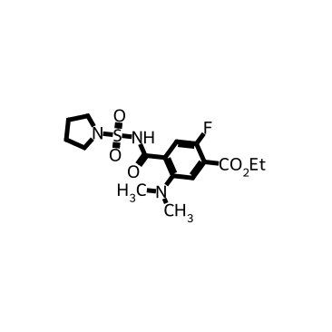 CCOC(=O)c1cc(N(C)C)c(C(=O)NS(=O)(=O)N2CCCC2)cc1F